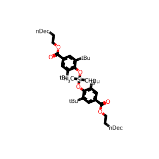 CCCCCCCCCCCCOC(=O)c1cc(C(C)(C)C)c(O[Si](C)(C)Oc2c(C(C)(C)C)cc(C(=O)OCCCCCCCCCCCC)cc2C(C)(C)C)c(C(C)(C)C)c1